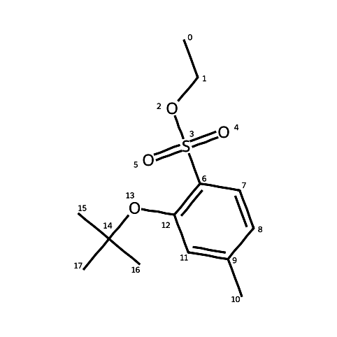 CCOS(=O)(=O)c1ccc(C)cc1OC(C)(C)C